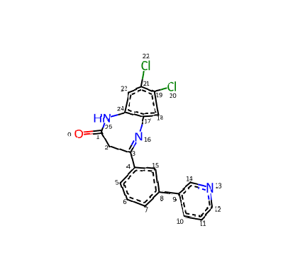 O=C1CC(c2cccc(-c3cccnc3)c2)=Nc2cc(Cl)c(Cl)cc2N1